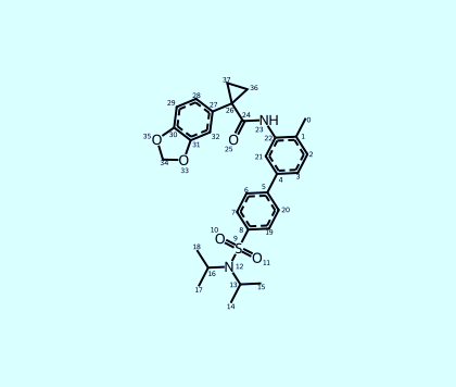 Cc1ccc(-c2ccc(S(=O)(=O)N(C(C)C)C(C)C)cc2)cc1NC(=O)C1(c2ccc3c(c2)OCO3)CC1